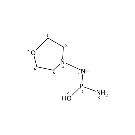 NP(O)NN1CCOCC1